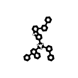 c1ccc(-c2cccc(-c3nc(-c4ccc5c(c4)oc4cccc(-c6cccc(-c7ccccc7)c6)c45)nc(-c4ccc(-c5ccccc5)c5ccccc45)n3)c2)cc1